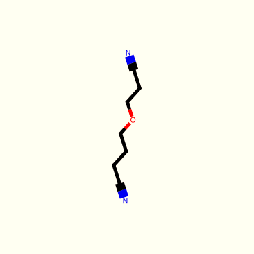 N#CCCCOCCC#N